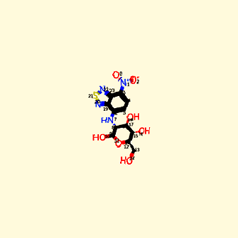 O=[N+]([O-])c1ccc(N[C@H]2C(O)O[C@H](CO)[C@@H](O)[C@@H]2O)c2nsnc12